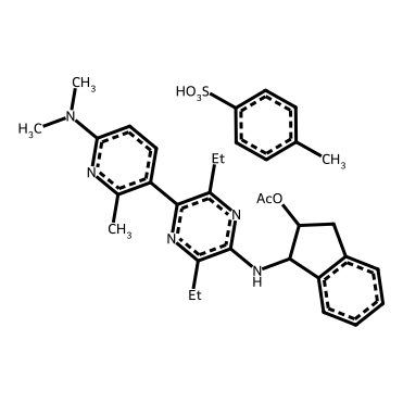 CCc1nc(-c2ccc(N(C)C)nc2C)c(CC)nc1NC1c2ccccc2CC1OC(C)=O.Cc1ccc(S(=O)(=O)O)cc1